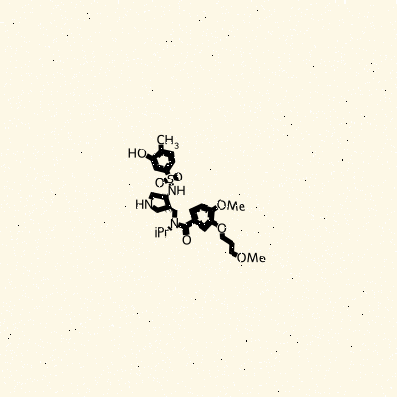 COCCCOc1cc(C(=O)N(C[C@H]2CNC[C@@H]2NS(=O)(=O)c2ccc(C)c(O)c2)C(C)C)ccc1OC